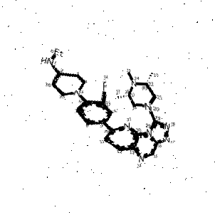 CCNC1CCN(c2ccc(-c3ccc4ncc5nnc(N6C[C@@H](C)N(C)[C@@H](C)C6)n5c4n3)cc2F)CC1